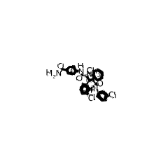 CN1[C@@H](C(=O)NC23CCC(C(N)=O)(CC2)CC3)[C@H](c2cccc(Cl)c2F)[C@H](C(=O)Nc2cccc(Cl)c2)C12CCCCC2